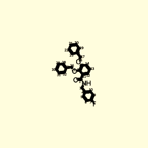 O=C(NCc1ccc(F)cc1)c1cccc(OCc2ccccc2)c1OCc1ccccc1